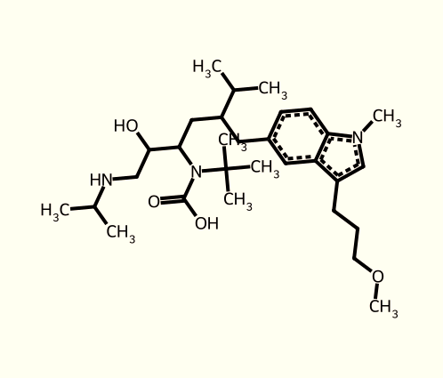 COCCCc1cn(C)c2ccc(CC(CC(C(O)CNC(C)C)N(C(=O)O)C(C)(C)C)C(C)C)cc12